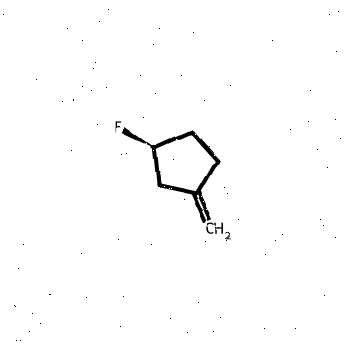 C=C1CC[C@H](F)C1